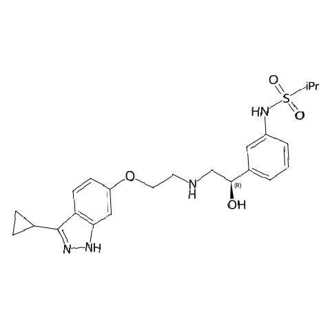 CC(C)S(=O)(=O)Nc1cccc([C@@H](O)CNCCOc2ccc3c(C4CC4)n[nH]c3c2)c1